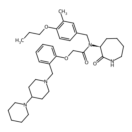 CCCOc1ccc(CN(C(=O)COc2ccccc2CN2CCC(N3CCCCC3)CC2)[C@H]2CCCCNC2=O)cc1C